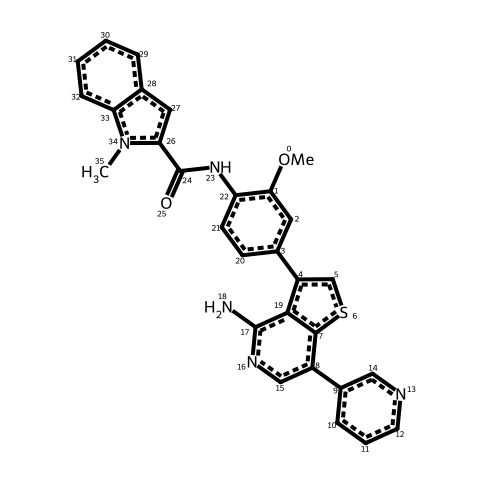 COc1cc(-c2csc3c(-c4cccnc4)cnc(N)c23)ccc1NC(=O)c1cc2ccccc2n1C